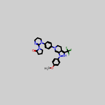 COc1ccc(N2NC(C(F)(F)F)=C3CCN(c4ccc(N5CCCN=C5N5CCCC5=O)cc4)C=C32)cc1